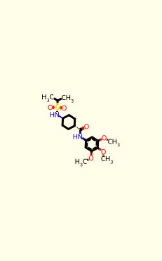 COc1cc(NC(=O)[C@H]2CC[C@H](NS(=O)(=O)C(C)C)CC2)cc(OC)c1OC